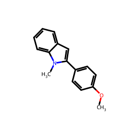 COc1ccc(-c2cc3ccccc3n2C)cc1